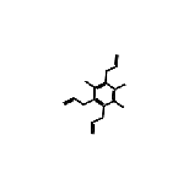 C=CCc1c(C)c(C)c(CC=C)c(CC=C)c1C